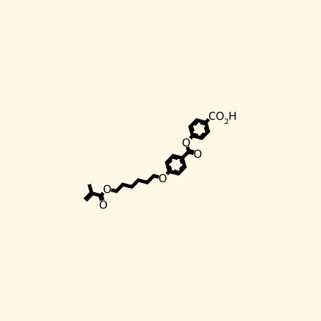 C=C(C)C(=O)OCCCCCCOc1ccc(C(=O)Oc2ccc(C(=O)O)cc2)cc1